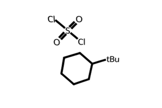 CC(C)(C)C1CCCCC1.O=S(=O)(Cl)Cl